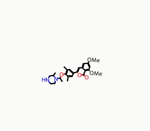 COc1cc(OC)c2c(=O)oc(-c3cc(C)c(OC(C)N4CCNCC4C)c(C)c3)cc2c1